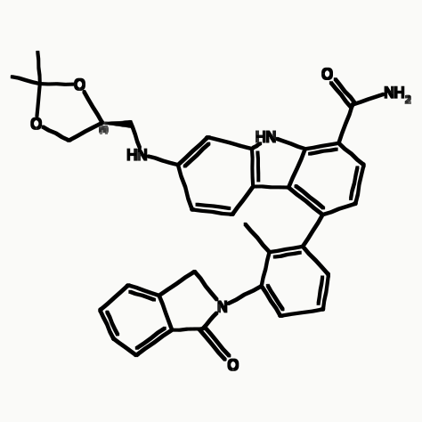 Cc1c(-c2ccc(C(N)=O)c3[nH]c4cc(NC[C@H]5COC(C)(C)O5)ccc4c23)cccc1N1Cc2ccccc2C1=O